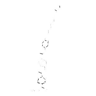 C=CC(=O)OCCCCCCOc1ccc(OC(=O)C2CCC(OC(=O)c3ccc(C(=O)OC)cc3)CC2)cc1